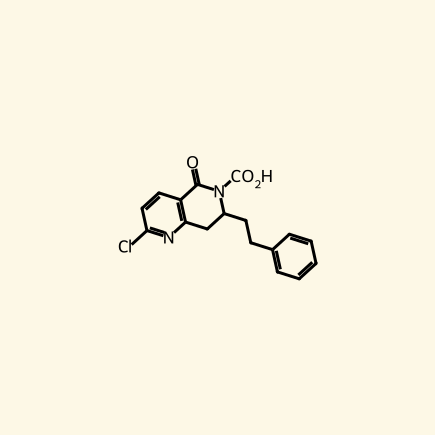 O=C(O)N1C(=O)c2ccc(Cl)nc2CC1CCc1ccccc1